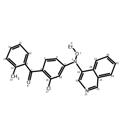 CCON(c1ccc(C(=O)c2ccccc2C)c(Cl)c1)c1cncc2ccccc12